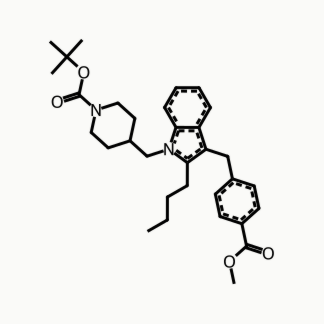 CCCCc1c(Cc2ccc(C(=O)OC)cc2)c2ccccc2n1CC1CCN(C(=O)OC(C)(C)C)CC1